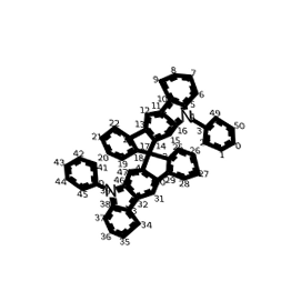 c1ccc(-n2c3ccccc3c3cc4c(cc32)C2(c3ccccc3-4)c3ccccc3-c3cc4c5ccccc5n(-c5ccccc5)c4cc32)cc1